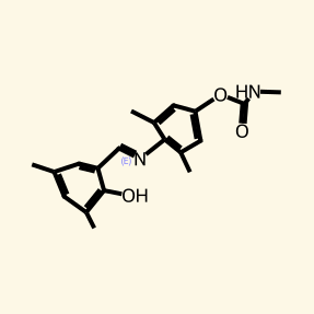 CNC(=O)Oc1cc(C)c(/N=C/c2cc(C)cc(C)c2O)c(C)c1